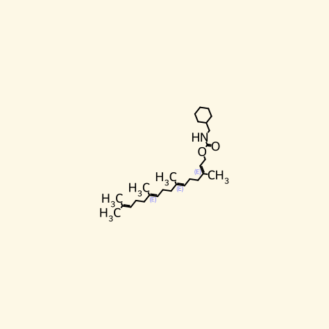 CC(C)=CCC/C(C)=C/CC/C(C)=C/CC/C(C)=C/COC(=O)NCC1CCCCC1